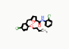 CCCCOc1ccc(Cl)cc1Cc1ccc(C(=O)Nc2ccccc2Cl)o1